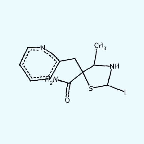 CC1NC(I)SC1(Cc1ccccn1)C(N)=O